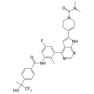 Cc1c(NC(=O)c2ccc(C(C)(O)C(F)(F)F)cc2)cc(F)cc1-c1ncnc2[nH]c(C3=CCN(C(=O)N(C)C)CC3)cc12